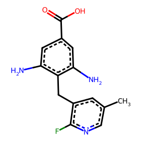 Cc1cnc(F)c(Cc2c(N)cc(C(=O)O)cc2N)c1